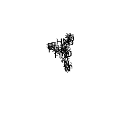 CN1CCN(c2ccc(NC(=O)c3cc4cc(NC(=O)c5ccco5)ccc4n3Cc3ccc(C(F)(F)F)cc3)cc2)CC1